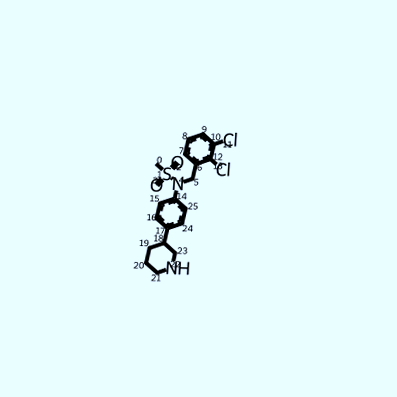 CS(=O)(=O)N(Cc1cccc(Cl)c1Cl)c1ccc(C2CCCNC2)cc1